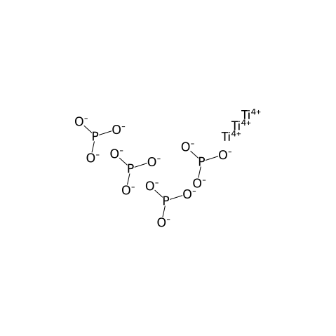 [O-]P([O-])[O-].[O-]P([O-])[O-].[O-]P([O-])[O-].[O-]P([O-])[O-].[Ti+4].[Ti+4].[Ti+4]